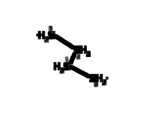 [SiH2][SiH2][SiH2][SiH2]